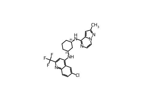 Cc1cc2c(N[C@@H]3CCC[C@H](Nc4cc(C(F)(F)F)nc5ccc(Cl)cc45)C3)nccn2n1